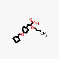 CCCCOC(=Cc1ccc(OCc2ccccc2)cc1)C(=O)O